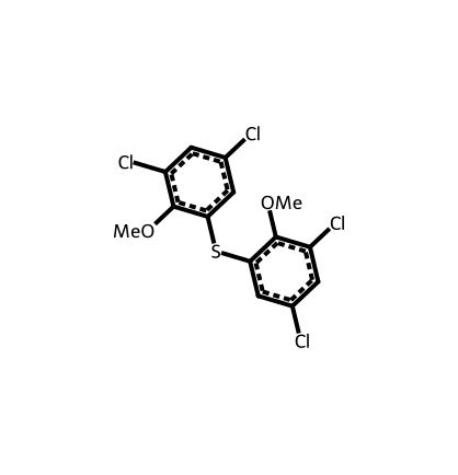 COc1c(Cl)cc(Cl)cc1Sc1cc(Cl)cc(Cl)c1OC